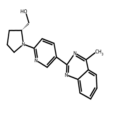 Cc1nc(-c2ccc(N3CCC[C@@H]3CO)nc2)nc2ccccc12